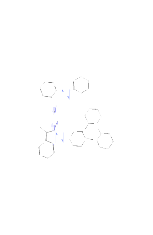 C=c1/c(=C\C=C2/CN(c3ccccc3)c3ccccc32)n(-c2ccc3c4ccccc4c4ccccc4c3c2)c2ccccc12